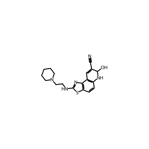 N#CC1=Cc2c(ccc3sc(NCCN4CCCCC4)nc23)NC1O